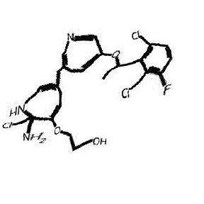 CC(Oc1cncc(C2=CNC(N)(Cl)C(OCCO)=C2)c1)c1c(Cl)ccc(F)c1Cl